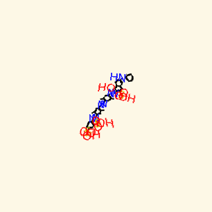 Cc1cc(N=Nc2ccc(S(=O)(=O)O)cc2S(=O)(=O)O)c(C)cc1N=Nc1cc(C)c(N=Nc2c(S(=O)(=O)O)cc3cc(Nc4ccccc4)ccc3c2O)cc1C